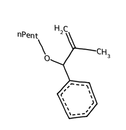 C=C(C)C(OCCCCC)c1ccccc1